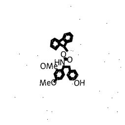 COc1ccc(C(Cc2ccc(O)cc2)NC(=O)OCC2c3ccccc3-c3ccccc32)c(OC)c1